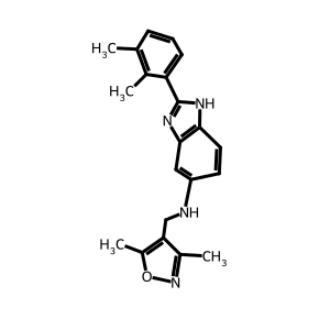 Cc1cccc(-c2nc3cc(NCc4c(C)noc4C)ccc3[nH]2)c1C